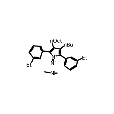 CCCCCCCCC1=C(c2cccc(CC)c2)[N+](=[N-])C(c2cccc(CC)c2)=C1CCCC.[CH3][Ni][CH3]